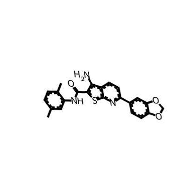 Cc1ccc(C)c(NC(=O)c2sc3nc(-c4ccc5c(c4)OCO5)ccc3c2N)c1